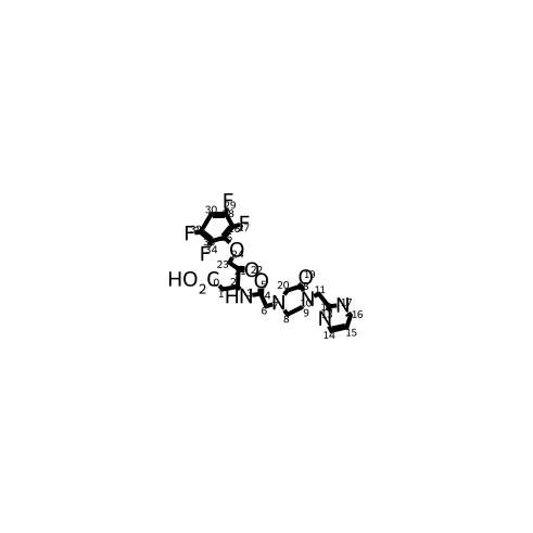 O=C(O)CC(NC(=O)CN1CCN(Cc2ncccn2)C(=O)C1)C(=O)COc1c(F)c(F)cc(F)c1F